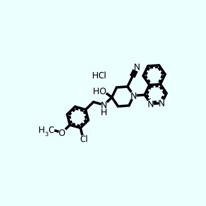 COc1ccc(CNC2(O)CCN(c3nncc4ccccc34)C(C#N)C2)cc1Cl.Cl